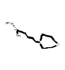 CCCCC[C@@H](O)CCCCN1CCOCC1